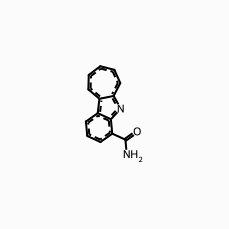 NC(=O)c1cccc2c3cccccc-3nc12